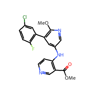 COC(=O)c1cnccc1Nc1cnc(OC)c(-c2cc(Cl)ccc2F)c1